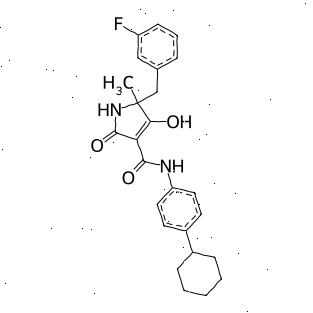 CC1(Cc2cccc(F)c2)NC(=O)C(C(=O)Nc2ccc(C3CCCCC3)cc2)=C1O